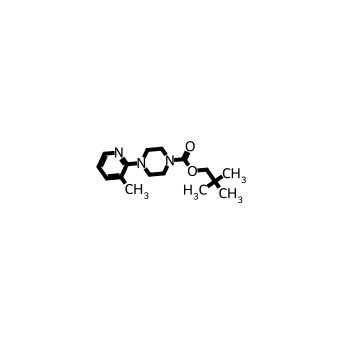 Cc1cccnc1N1CCN(C(=O)OCC(C)(C)C)CC1